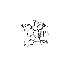 C=C[Si](C)(C=C)C([SiH2]C([Si](C)(C=C)C=C)[Si](C)(C=C)C=C)[Si](C)(C=C)C=C